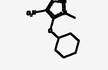 Cn1ncc([N+](=O)[O-])c1OC1CCCCC1